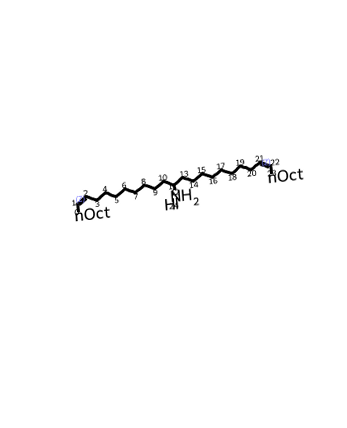 CCCCCCCC/C=C\CCCCCCCCC(N)CCCCCCCC/C=C\CCCCCCCC.I